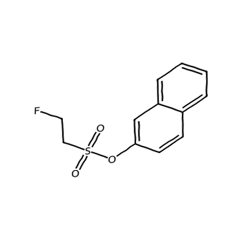 O=S(=O)(CCF)Oc1ccc2ccccc2c1